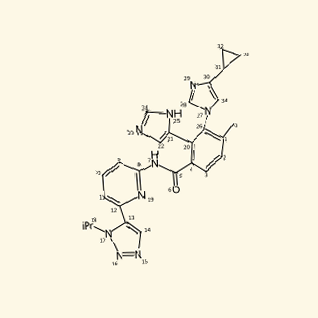 Cc1ccc(C(=O)Nc2cccc(-c3cnnn3C(C)C)n2)c(-c2cnc[nH]2)c1-n1cnc(C2CC2)c1